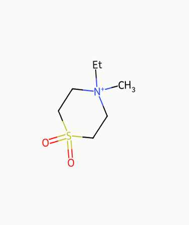 CC[N+]1(C)CCS(=O)(=O)CC1